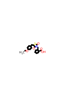 CCOc1ccc(C=C2SC(=O)N(Cc3ccccc3C(=O)O)C2=O)cc1